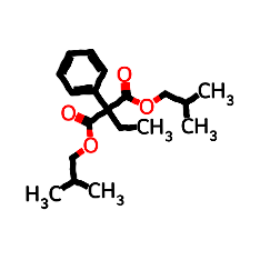 CCC(C(=O)OCC(C)C)(C(=O)OCC(C)C)c1ccccc1